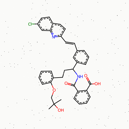 CC(C)(O)COc1ccccc1CCC(NC(=O)c1ccccc1C(=O)O)c1cccc(/C=C/c2ccc3ccc(Cl)cc3n2)c1